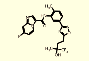 Cc1ccc(-c2noc(CC[C@@](C)(O)C(F)(F)F)n2)cc1NC(=O)c1cnc2cc(F)ccn12